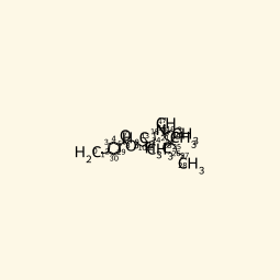 C=Cc1ccc(C(=O)OCCC(C)(C)CCN(C)/C(=C/C)CC(C)(C)CCCC)cc1